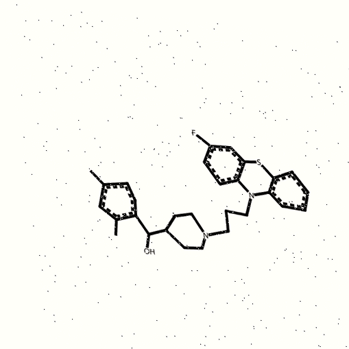 Cc1ccc(C(O)C2CCN(CCCN3c4ccccc4Sc4cc(F)ccc43)CC2)c(C)c1